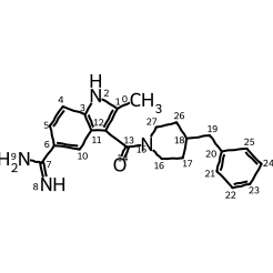 Cc1[nH]c2ccc(C(=N)N)cc2c1C(=O)N1CCC(Cc2ccccc2)CC1